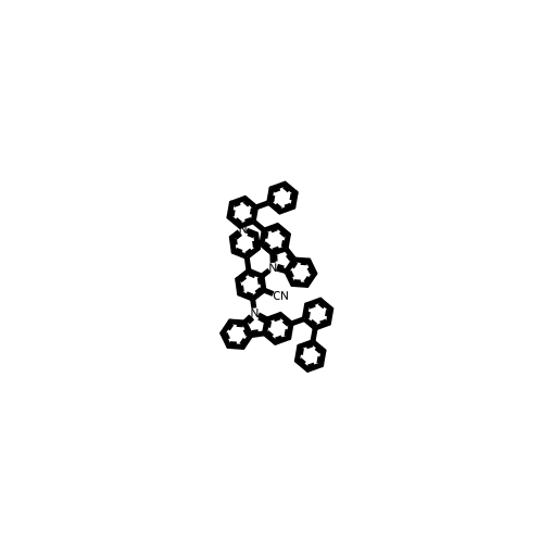 N#Cc1c(-n2c3ccccc3c3ccc(-c4ccccc4-c4ccccc4)cc32)ccc(-c2ccncc2)c1-n1c2ccccc2c2ccc(-c3ccccc3-c3ccccc3)cc21